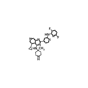 CC1(Nc2nc(-c3ccnc(Nc4nc(F)ccc4F)c3)nc3cncc(C4CC4)c23)CCNCC1